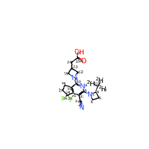 [2H]C([2H])([2H])[C@H]1CCN1c1nc(N2CC(CC(=O)O)C2)c2c(c1C#N)C(F)(F)CC2